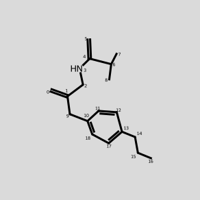 C=C(CNC(=C)C(C)C)Cc1ccc(CCC)cc1